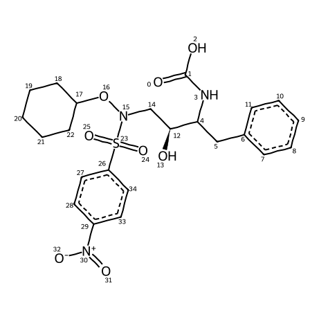 O=C(O)NC(Cc1ccccc1)[C@@H](O)CN(OC1CCCCC1)S(=O)(=O)c1ccc([N+](=O)[O-])cc1